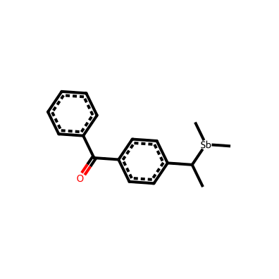 C[CH](c1ccc(C(=O)c2ccccc2)cc1)[Sb]([CH3])[CH3]